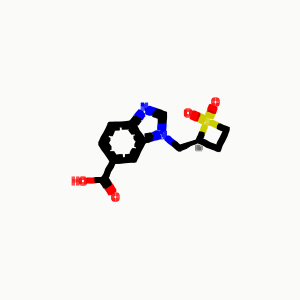 O=C(O)c1ccc2ncn(C[C@@H]3CCS3(=O)=O)c2c1